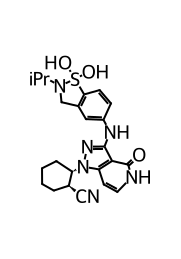 CC(C)N1Cc2cc(Nc3nn([C@H]4CCCC[C@@H]4C#N)c4cc[nH]c(=O)c34)ccc2S1(O)O